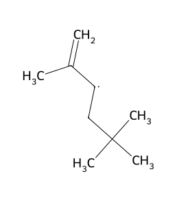 C=C(C)[CH]CC(C)(C)C